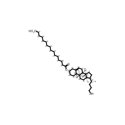 CC(C)CCC[C@@H](C)C1CC[C@H]2[C@@H]3CC=C4C[C@@H](OC(=O)CCCCCCCCCCCCCCC(=O)O)CC[C@]4(C)[C@H]3CC[C@]12C